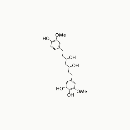 COc1cc(CCC(O)CC(O)CCc2cc(O)c(O)c(OC)c2)ccc1O